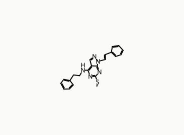 CSc1nc(NCCc2ccccc2)c2cnn(C=Cc3ccccc3)c2n1